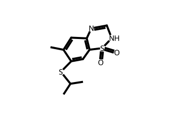 Cc1cc2c(cc1SC(C)C)S(=O)(=O)NC=N2